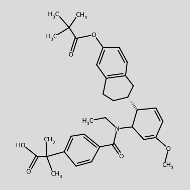 CCN(C(=O)c1ccc(C(C)(C)C(=O)O)cc1)C1C=C(OC)C=CC1[C@@H]1CCc2cc(OC(=O)C(C)(C)C)ccc2C1